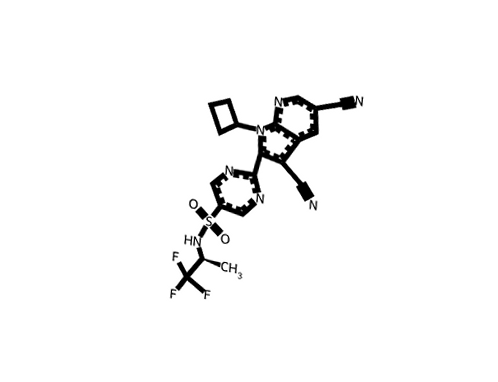 C[C@H](NS(=O)(=O)c1cnc(-c2c(C#N)c3cc(C#N)cnc3n2C2CCC2)nc1)C(F)(F)F